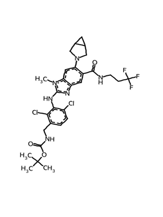 Cn1c(Nc2c(Cl)ccc(CNC(=O)OC(C)(C)C)c2Cl)nc2cc(C(=O)NCCC(F)(F)F)c(N3CC4CC4C3)cc21